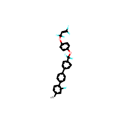 CCCc1ccc(-c2ccc(-c3ccc(C(F)(F)Oc4ccc(OC(F)(F)C=C(F)F)cc4)cc3)cc2)c(F)c1